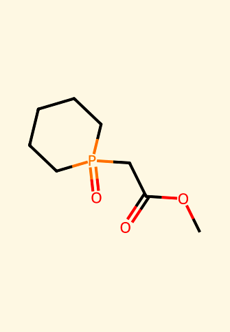 COC(=O)CP1(=O)CCCCC1